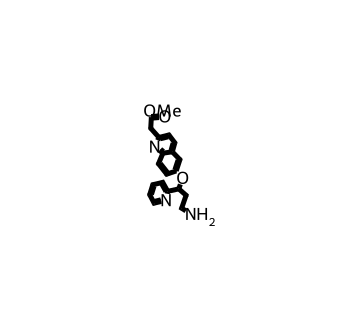 COC(=O)Cc1ccc2cc(OC(CCN)c3ccccn3)ccc2n1